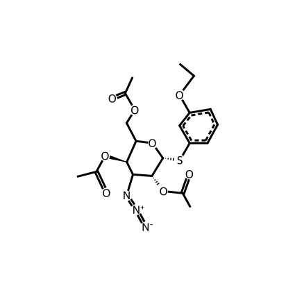 CCOc1cccc(S[C@H]2OC(COC(C)=O)[C@H](OC(C)=O)C(N=[N+]=[N-])[C@H]2OC(C)=O)c1